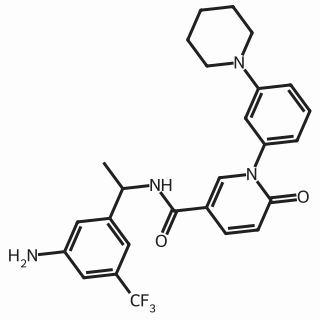 CC(NC(=O)c1ccc(=O)n(-c2cccc(N3CCCCC3)c2)c1)c1cc(N)cc(C(F)(F)F)c1